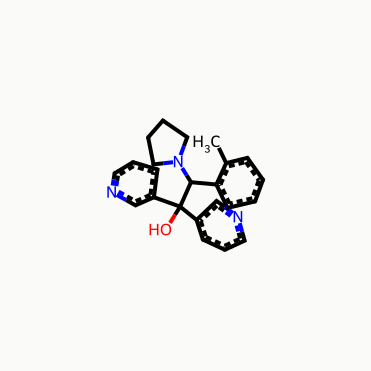 Cc1ccccc1C(N1CCCC1)C(O)(c1cccnc1)c1cccnc1